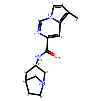 Cc1ccn2cnc(C(=O)N[C@@H]3CC4CCN(C4)C3)cc12